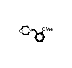 COc1c[c]ccc1CN1CCOCC1